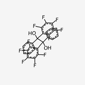 OC(c1ccccc1)(c1c(F)c(F)c(F)c(F)c1F)C(O)(c1ccccc1)c1c(F)c(F)c(F)c(F)c1F